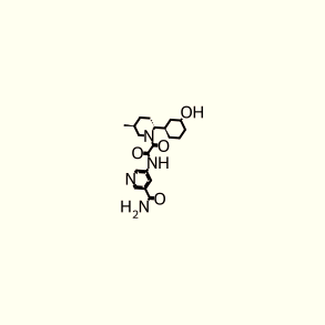 C[C@H]1CC[C@H]([C@@H]2CCC[C@H](O)C2)N(C(=O)C(=O)Nc2cncc(C(N)=O)c2)C1